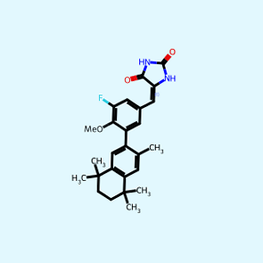 COc1c(F)cc(/C=C2/NC(=O)NC2=O)cc1-c1cc2c(cc1C)C(C)(C)CCC2(C)C